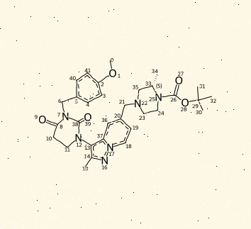 COc1ccc(CN2C(=O)CCN(c3c(C)nn4ccc(CN5CCN(C(=O)OC(C)(C)C)[C@@H](C)C5)cc34)C2=O)cc1